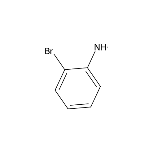 [NH]c1ccccc1Br